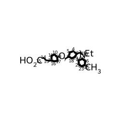 CCN(Cc1ccc(COc2ccc(CCC(=O)O)cc2)cc1)c1cccc(C)c1